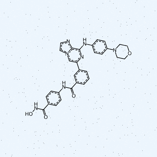 O=C(NO)c1ccc(NC(=O)c2cccc(-c3cn4ccnc4c(Nc4ccc(N5CCOCC5)cc4)n3)c2)cc1